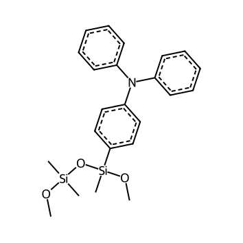 CO[Si](C)(C)O[Si](C)(OC)c1ccc(N(c2ccccc2)c2ccccc2)cc1